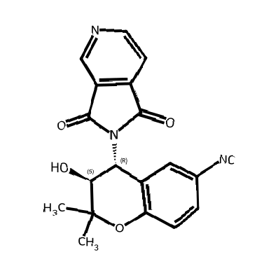 [C-]#[N+]c1ccc2c(c1)[C@@H](N1C(=O)c3ccncc3C1=O)[C@H](O)C(C)(C)O2